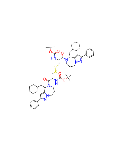 CC(C)(C)OC(=O)N[C@@H](CSSC[C@H](NC(=O)OC(C)(C)C)C(=O)N1CCCn2nc(-c3ccccc3)cc2C1CC1CCCCC1)C(=O)N1CCCn2nc(-c3ccccc3)cc2C1CC1CCCCC1